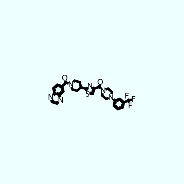 O=C(c1ccc2nccnc2c1)N1CCC(c2nc(C(=O)N3CCN(c4cccc(C(F)(F)F)c4)CC3)cs2)CC1